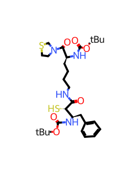 CC(C)(C)OC(=O)N[C@@H](CCCCNC(=O)[C@@H](S)[C@@H](Cc1ccccc1)NC(=O)OC(C)(C)C)C(=O)N1CCSC1